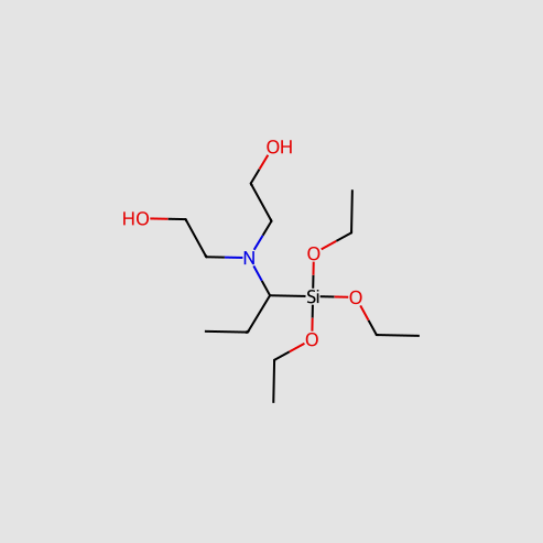 CCO[Si](OCC)(OCC)C(CC)N(CCO)CCO